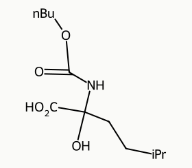 CCCCOC(=O)NC(O)(CCC(C)C)C(=O)O